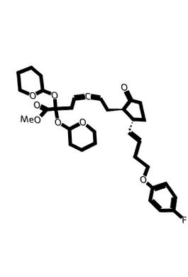 COC(=O)C(CC=C=CC[C@H]1C(=O)CC[C@@H]1/C=C/CCOc1ccc(F)cc1)(OC1CCCCO1)OC1CCCCO1